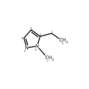 CCc1[c]cnn1C